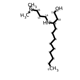 CCCCCCCCCC(CCO)NCCCN(C)C